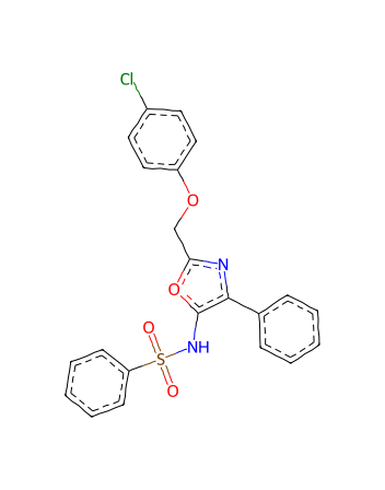 O=S(=O)(Nc1oc(COc2ccc(Cl)cc2)nc1-c1ccccc1)c1ccccc1